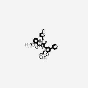 COC(=O)Cn1c(-c2nn(C(=O)c3ccccc3OC)c(NCc3ccc(Cl)s3)c2F)cc(-c2ccncc2)cc1=O